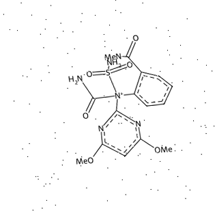 CNC(=O)c1ccccc1[N+](C(N)=O)(c1nc(OC)cc(OC)n1)S(N)(=O)=O